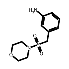 Nc1cccc(CS(=O)(=O)N2CCOCC2)c1